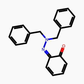 O=C1C=CC=CC1=NN(Cc1ccccc1)Cc1ccccc1